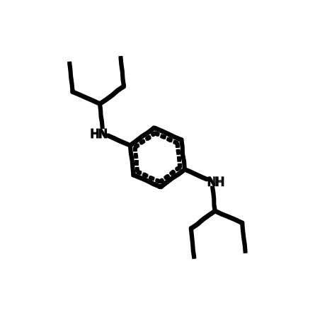 CCC(CC)Nc1ccc(NC(CC)CC)cc1